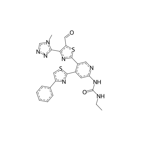 CCNC(=O)Nc1cc(-c2nc(-c3ccccc3)cs2)c(-c2nc(-c3nncn3C)c(C=O)s2)cn1